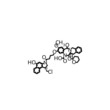 COc1cc2c(cc1OCCCC(=O)N1C[C@@H](CCl)c3c1cc(O)c1ccccc31)N(C(=O)O)C(OC1CCCCO1)[C@@H]1Cc3ccccc3CN1C2=O